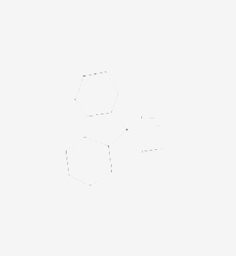 [CH2]C(OCC)(C1CCCCC1)C1CCCCC1